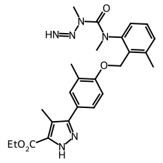 CCOC(=O)c1[nH]nc(-c2ccc(OCc3c(C)cccc3N(C)C(=O)N(C)N=N)c(C)c2)c1C